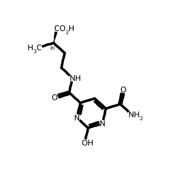 C[C@H](CCNC(=O)c1cc(C(N)=O)nc(O)n1)C(=O)O